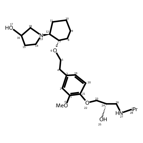 COc1cc(CCO[C@H]2CCCC[C@@H]2N2CCC(O)C2)ccc1OC[C@@H](O)CNC(C)C